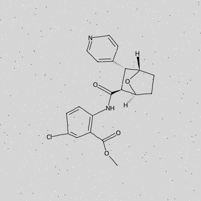 COC(=O)c1cc(Cl)ccc1NC(=O)[C@H]1[C@H](c2ccncc2)[C@@H]2CC[C@@H]1O2